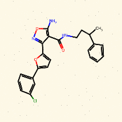 CC(CCNC(=O)c1c(-c2ccc(-c3cccc(Cl)c3)o2)noc1N)c1ccccc1